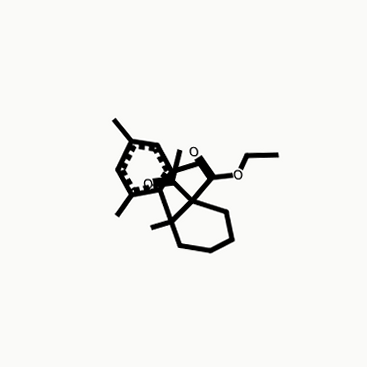 CCOC(=O)C1(C(C)=O)CCCCC1(C)c1c(C)cc(C)cc1C